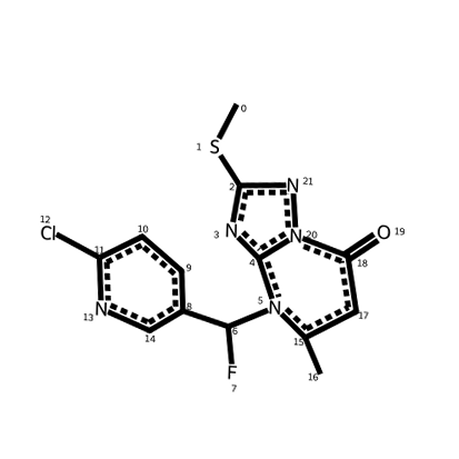 CSc1nc2n(C(F)c3ccc(Cl)nc3)c(C)cc(=O)n2n1